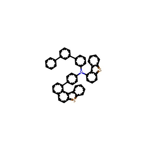 c1ccc(-c2cccc(-c3cccc(N(c4ccc(-c5cccc6ccc7sc8ccccc8c7c56)cc4)c4cccc5sc6ccccc6c45)c3)c2)cc1